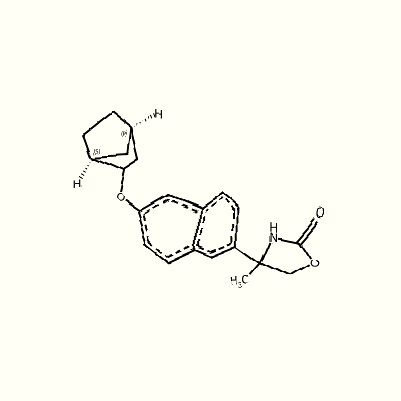 CC1(c2ccc3cc(OC4C[C@@H]5CC[C@H]4C5)ccc3c2)COC(=O)N1